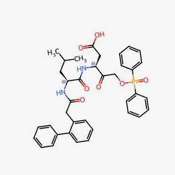 CC(C)C[C@H](NC(=O)Cc1ccccc1-c1ccccc1)C(=O)N[C@@H](CC(=O)O)C(=O)COP(=O)(c1ccccc1)c1ccccc1